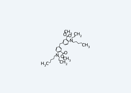 C=CCN(CCCCC)c1ccc(Cc2ccc(N(CC=C)CCCCC)c(C(=O)OC)c2)cc1C(=O)OC